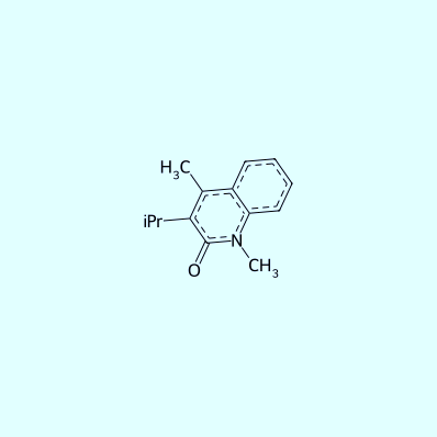 Cc1c(C(C)C)c(=O)n(C)c2ccccc12